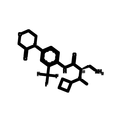 CN(C1CCC1)[C@@H](CN)C(=O)Nc1ccc(N2CCOCC2=O)cc1C(F)(F)F